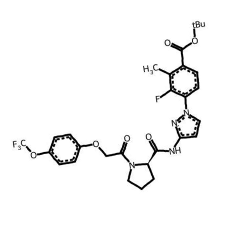 Cc1c(C(=O)OC(C)(C)C)ccc(-n2ccc(NC(=O)[C@H]3CCCN3C(=O)COc3ccc(OC(F)(F)F)cc3)n2)c1F